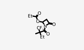 CCC(=O)OC1CC(=O)N1C(=O)C(C)(CC)C(F)(F)F